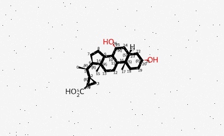 C[C@H]([C@H]1C[C@H]1C(=O)O)[C@H]1CCC2C3C(CC[C@@]21C)[C@@]1(C)CC[C@@H](O)C[C@H]1C[C@H]3O